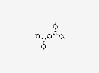 Cc1ccc(-c2nc(-c3ccc(C)cc3)nc(-c3ccc(-c4nc(-c5ccc(C)cc5)nc(-c5ccc(C)cc5)n4)cc3)n2)cc1